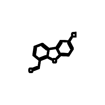 O=Cc1cccc2c1oc1ccc(Cl)cc12